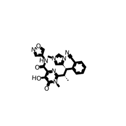 C[C@H](c1nc(C(=O)Nc2cnoc2)c(O)c(=O)n1C)[C@H](c1cn(C)cn1)c1ccccc1C#N